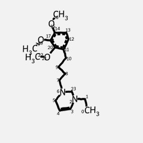 CCN1C=CCN(CCCCc2ccc(OC)c(OC)c2OC)C1